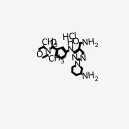 C[C@@H]1COC[C@H](C)N1C(=O)c1cccc(Nc2nc(N3CCC[C@H](N)C3)ncc2C(N)=O)c1.Cl